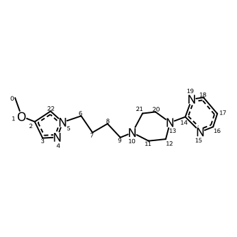 COc1cnn(CCCCN2CCN(c3ncccn3)CC2)c1